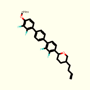 C=CCCC1CCC(c2ccc(-c3ccc(-c4ccc(OCCCCCC)c(F)c4F)cc3)c(F)c2F)OC1